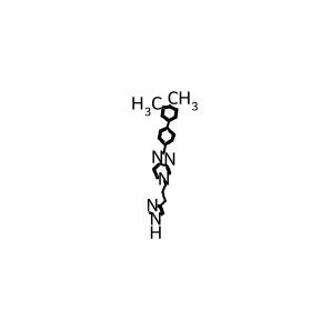 Cc1ccc(-c2ccc(-c3nc4ccn(CCCc5c[nH]cn5)cc-4n3)cc2)cc1C